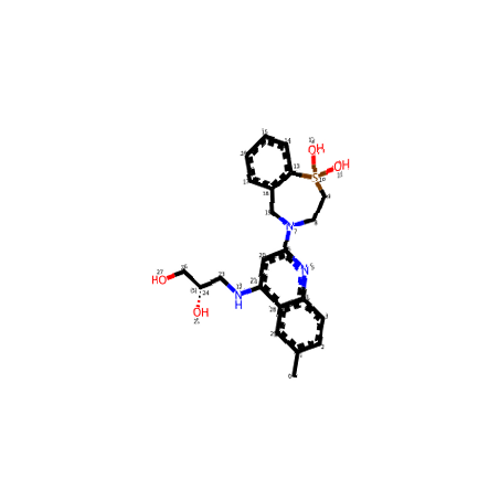 Cc1ccc2nc(N3CCS(O)(O)c4ccccc4C3)cc(NC[C@H](O)CO)c2c1